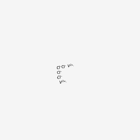 [Cl-].[Cl-].[Cl-].[Cl-].[V+2].[V+2]